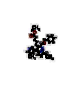 CCOC(=O)CCCCc1c(COCC2CCCCC2)nn2c(CC)ccc2c1-c1cncc(C)c1